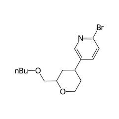 CCCCOCC1CC(c2ccc(Br)nc2)CCO1